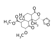 COC(=O)[C@@H]1C[C@@H](OC)C(=O)C2[C@@]3(C)C[C@@H](c4ccoc4)OC(=O)C3CC[C@]21C